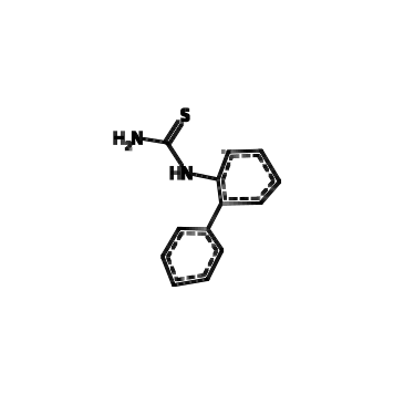 NC(=S)Nc1[c]cccc1-c1ccccc1